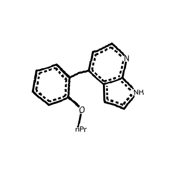 CCCOc1ccccc1-c1ccnc2[nH]ccc12